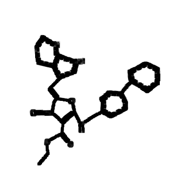 CCOC(=O)C1=C(Nc2ccc(-c3ccccc3)cc2)OC(=Cc2c[nH]c3ncccc23)C1=O